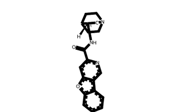 O=C(N[C@H]1CN2CCC1CC2)c1cc2oc3ccccc3c2cn1